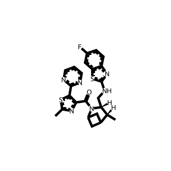 Cc1nc(C(=O)N2C3CC(C3)[C@@H](C)[C@H]2CNc2nc3ccc(F)cc3s2)c(-c2ncccn2)s1